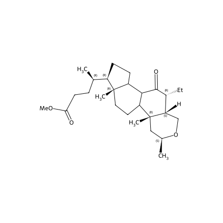 CC[C@H]1C(=O)C2C3CC[C@H]([C@H](C)CCC(=O)OC)[C@@]3(C)CCC2[C@@]2(C)C[C@H](C)OC[C@@H]12